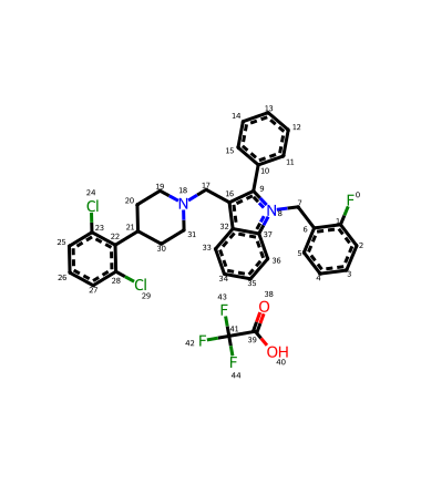 Fc1ccccc1Cn1c(-c2ccccc2)c(CN2CCC(c3c(Cl)cccc3Cl)CC2)c2ccccc21.O=C(O)C(F)(F)F